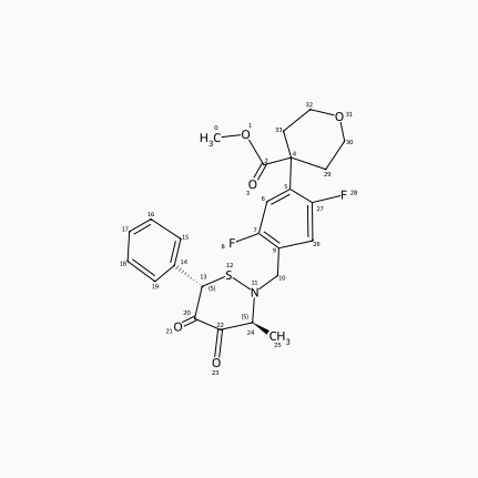 COC(=O)C1(c2cc(F)c(CN3S[C@@H](c4ccccc4)C(=O)C(=O)[C@@H]3C)cc2F)CCOCC1